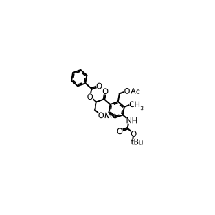 COC[C@@H](OC(=O)c1ccccc1)C(=O)c1ccc(NC(=O)OC(C)(C)C)c(C)c1COC(C)=O